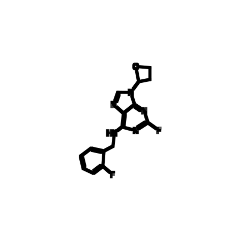 Fc1nc(NCc2ccccc2F)c2ncn(C3CCO3)c2n1